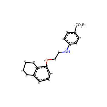 CCOC(=O)c1ccc(NCCOc2cccc3c2CCCC3)cc1